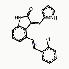 O=C1Nc2cccc(/C=C/c3ccccc3Cl)c2C1=Cc1ccc[nH]1